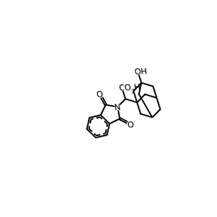 O=C(O)C(N1C(=O)c2ccccc2C1=O)C12CC3CC(CC(O)(C3)C1)C2